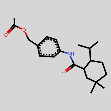 CC(=O)OCc1ccc(NC(=O)C2CC(C)(C)CCC2C(C)C)cc1